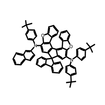 CC(C)(C)c1ccc(N(c2ccc(C(C)(C)C)cc2)c2cc3c(c4c2oc2ccccc24)-c2c(cc(N(c4ccc(C(C)(C)C)cc4)c4ccc5ccccc5c4)c4oc5ccccc5c24)C32c3ccccc3-c3ccccc32)cc1